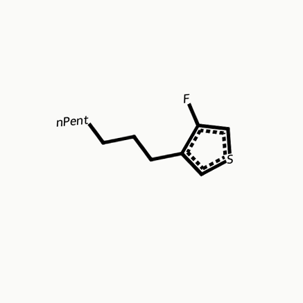 CCCCCCCCc1cscc1F